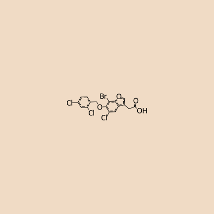 O=C(O)Cc1coc2c(Br)c(OCc3ccc(Cl)cc3Cl)c(Cl)cc12